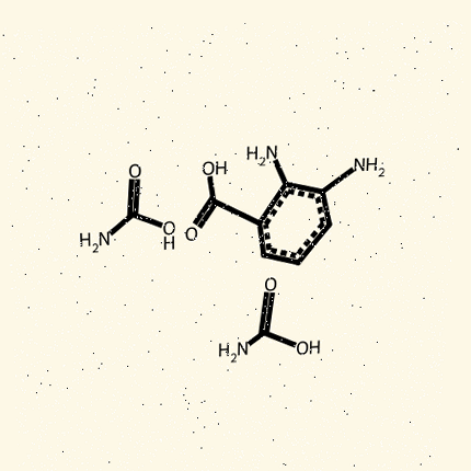 NC(=O)O.NC(=O)O.Nc1cccc(C(=O)O)c1N